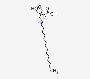 CCCCCCCCCCCCC/C=C/CC(CO)(CO)NC(C)=O